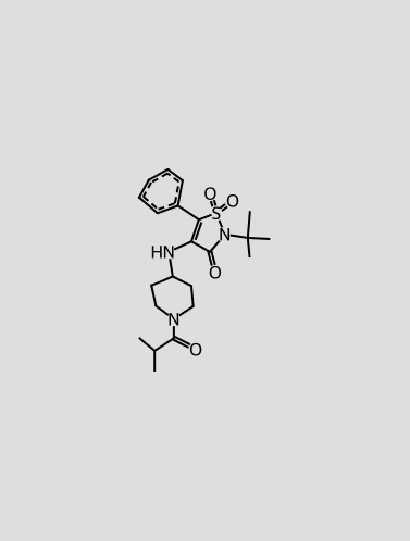 CC(C)C(=O)N1CCC(NC2=C(c3ccccc3)S(=O)(=O)N(C(C)(C)C)C2=O)CC1